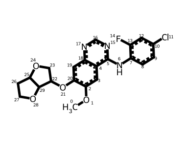 COc1cc2c(Nc3ccc(Cl)cc3F)ncnc2cc1OC1COC2CCOC21